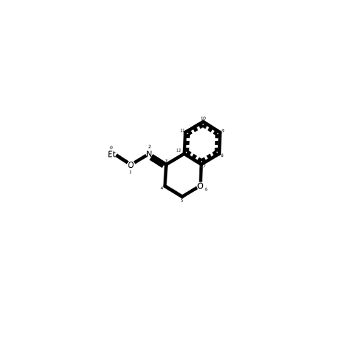 CCON=C1C[CH]Oc2ccccc21